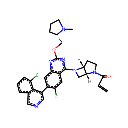 C=CC(=O)N1CC[C@@H]2[C@H]1CN2c1nc(OC[C@@H]2CCCN2C)nc2cc(-c3cncc4cccc(Cl)c34)c(F)cc12